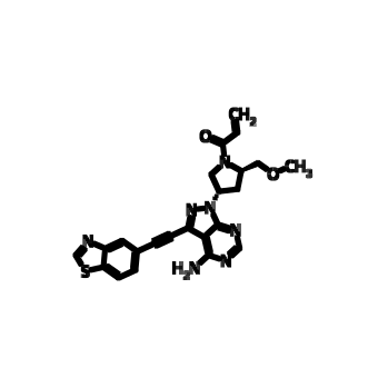 C=CC(=O)N1C[C@@H](n2nc(C#Cc3ccc4scnc4c3)c3c(N)ncnc32)C[C@@H]1COC